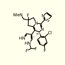 CNCC1(F)CC2=C(/C(C=N)=C/NC(F)F)[C@H](c3ccc(F)cc3Cl)N=C(c3nccs3)N2C1